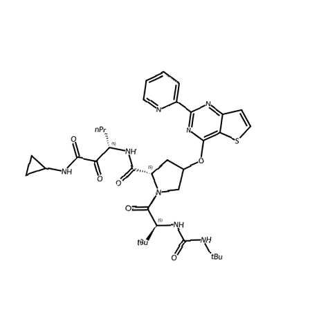 CCC[C@H](NC(=O)[C@@H]1CC(Oc2nc(-c3ccccn3)nc3ccsc23)CN1C(=O)[C@@H](NC(=O)NC(C)(C)C)C(C)(C)C)C(=O)C(=O)NC1CC1